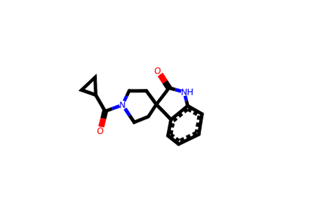 O=C(C1CC1)N1CCC2(CC1)C(=O)Nc1ccccc12